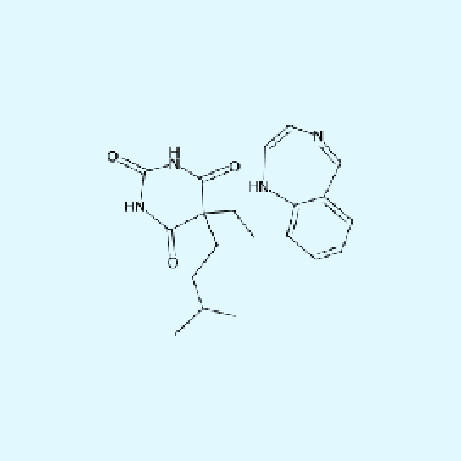 C1=CNc2ccccc2C=N1.CCC1(CCC(C)C)C(=O)NC(=O)NC1=O